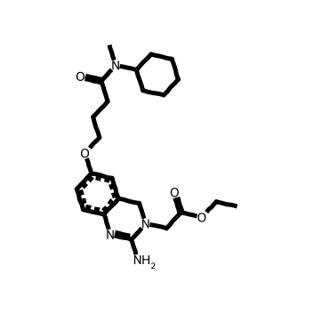 CCOC(=O)CN1Cc2cc(OCCCC(=O)N(C)C3CCCCC3)ccc2N=C1N